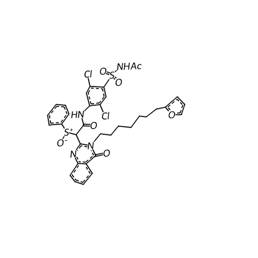 CC(=O)NS(=O)(=O)c1cc(Cl)c(NC(=O)C(c2nc3ccccc3c(=O)n2CCCCCCCc2ccco2)[S+]([O-])c2ccccc2)cc1Cl